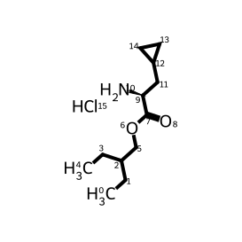 CCC(CC)COC(=O)[C@@H](N)CC1CC1.Cl